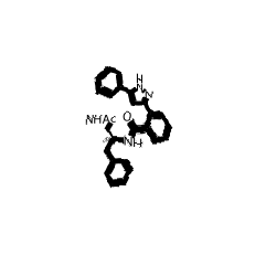 CC(=O)NC[C@H](Cc1ccccc1)NC(=O)c1ccccc1-c1cc(-c2ccccc2)[nH]n1